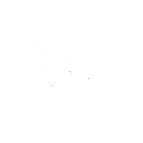 O=C(Nc1ccc(O)c2cccnc12)c1ccccc1